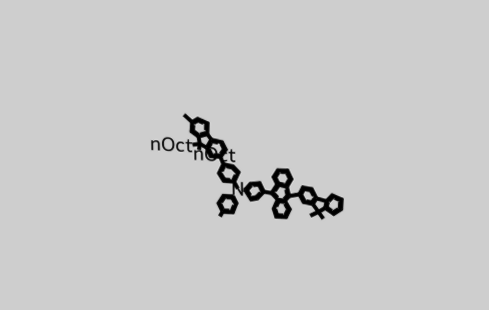 CCCCCCCCC1(CCCCCCCC)c2cc(C)ccc2-c2ccc(-c3ccc(N(c4ccc(C)cc4)c4ccc(-c5c6ccccc6c(-c6ccc7c(c6)C(C)(C)c6ccccc6-7)c6ccccc56)cc4)cc3)cc21